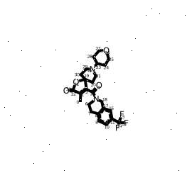 CC1=C(C(=O)N2CCc3ccc(C(F)(F)F)cc3C2)C2(CCN(C3CCOCC3)CC2)OC1=O